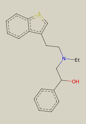 CCN(CCc1csc2ccccc12)CC(O)c1ccccc1